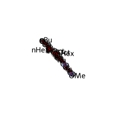 CCCCCCCCC1(C(F)(F)C(F)(F)CCCCCC)c2cc(-c3ccc4c(c3)C(CCCCCCCC)(C(F)(F)C(F)(F)CCCCCC)c3cc(-c5nc6cc7oc(-c8ccc(OCCCC)cc8)nc7cc6o5)ccc3-4)ccc2-c2ccc(-c3nc4cc5oc(-c6ccc(CC(=O)/C=C/C(=O)Oc7ccc(-c8ccc(CC(=O)/C=C/C(=O)OC)cc8)cc7)cc6)nc5cc4o3)cc21